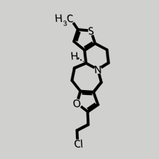 Cc1cc2c(s1)CCN1Cc3cc(CCCl)oc3CC[C@@H]21